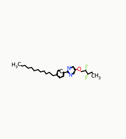 CCCCCCCCCCCCc1ccc(-c2ncc(OCC(F)C(F)CC)cn2)cc1